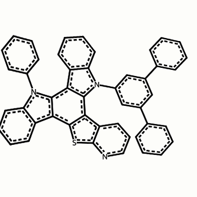 c1ccc(-c2cc(-c3ccccc3)cc(-n3c4ccccc4c4c5c(c6ccccc6n5-c5ccccc5)c5sc6ncccc6c5c43)c2)cc1